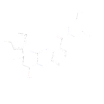 CCCN(CCC)C(=O)c1cccc(CN2C(=N)NC(C)(c3cccc(Br)c3)CC2O)c1